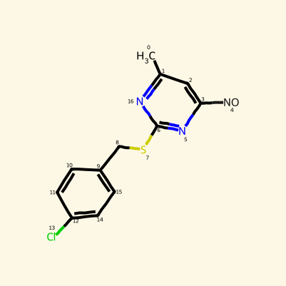 Cc1cc(N=O)nc(SCc2ccc(Cl)cc2)n1